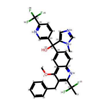 COc1c(Cc2ccccc2)c(C(C)(F)F)nc2ccc(C(O)(c3ccc(C(F)(F)F)nc3)c3cncn3C)cc12